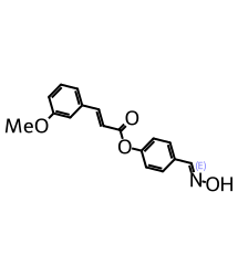 COc1cccc(C=CC(=O)Oc2ccc(/C=N/O)cc2)c1